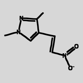 Cc1nn(C)cc1/C=C/[N+](=O)[O-]